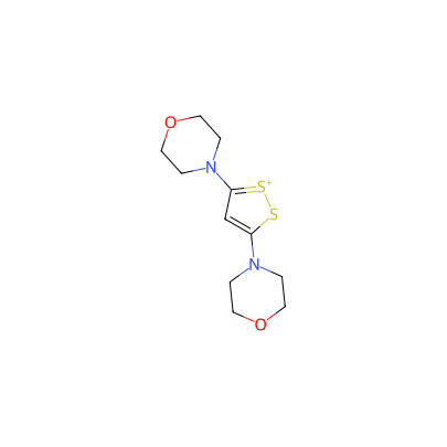 c1c(N2CCOCC2)s[s+]c1N1CCOCC1